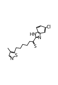 Cc1cnsc1CCCCCC(=S)c1nc2cc(Cl)ccc2[nH]1